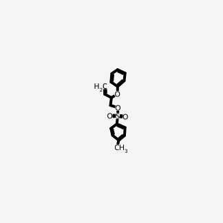 C=CC(COS(=O)(=O)c1ccc(C)cc1)Oc1ccccc1